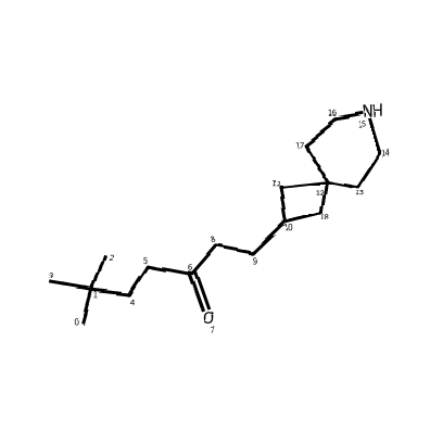 CC(C)(C)CCC(=O)CCC1CC2(CCNCC2)C1